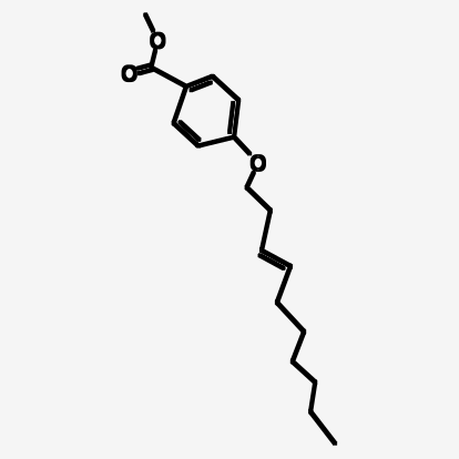 CCCCCC/C=C/CCOc1ccc(C(=O)OC)cc1